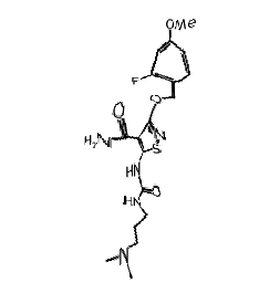 COc1ccc(COc2nsc(NC(=O)NCCCN(C)C)c2C(N)=O)c(F)c1